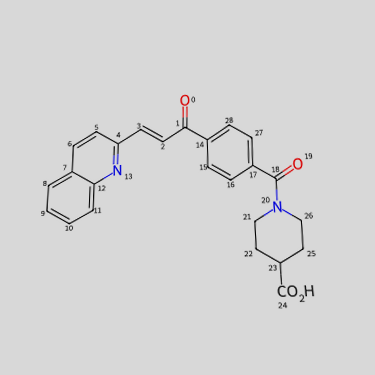 O=C(C=Cc1ccc2ccccc2n1)c1ccc(C(=O)N2CCC(C(=O)O)CC2)cc1